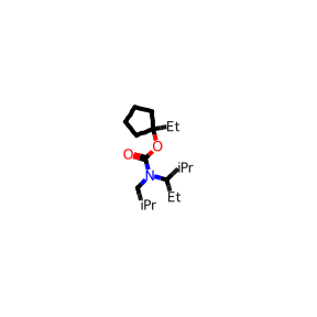 CCC(C(C)C)N(CC(C)C)C(=O)OC1(CC)CCCC1